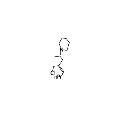 CCCC=C(CCl)CC(C)N1CCCCC1